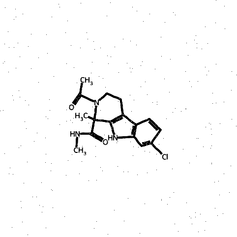 CNC(=O)C1(C)c2[nH]c3cc(Cl)ccc3c2CCN1C(C)=O